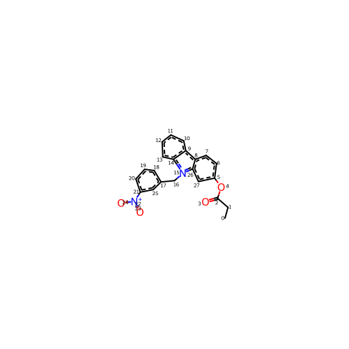 CCC(=O)Oc1ccc2c3ccccc3n(Cc3cccc([N+](=O)[O-])c3)c2c1